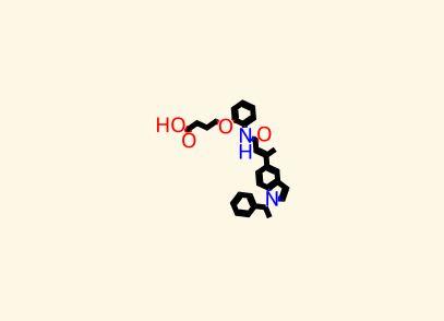 CC(=CC(=O)Nc1ccccc1OCCCC(=O)O)c1ccc2c(ccn2C(C)c2ccccc2)c1